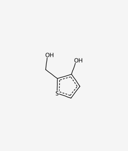 OCc1sccc1O